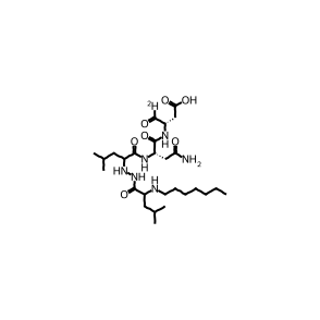 [2H]C(=O)[C@H](CC(=O)O)NC(=O)[C@H](CC(N)=O)NC(=O)C(CC(C)C)NNC(=O)C(CC(C)C)NCCCCCCC